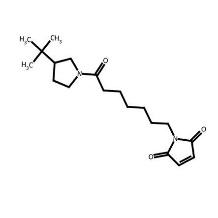 CC(C)(C)C1CCN(C(=O)CCCCCCN2C(=O)C=CC2=O)C1